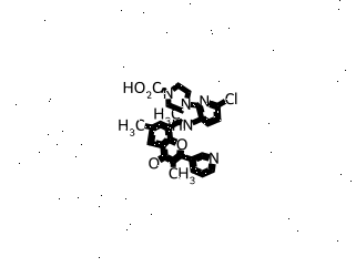 Cc1cc(C(C)Nc2ccc(Cl)nc2N2CCN(C(=O)O)CC2)c2oc(-c3cccnc3)c(C)c(=O)c2c1